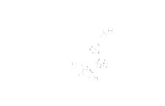 COCc1cnn(-c2cnn3c2CN(C(=O)O)[C@@H](C)C3)c1